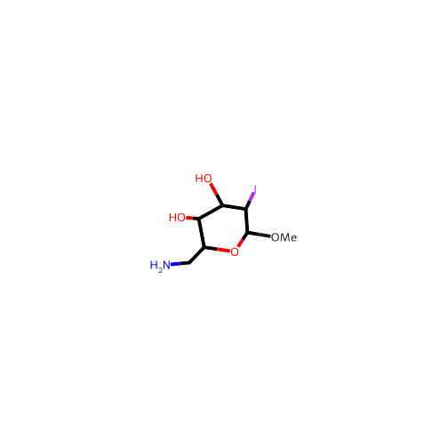 COC1OC(CN)C(O)C(O)C1I